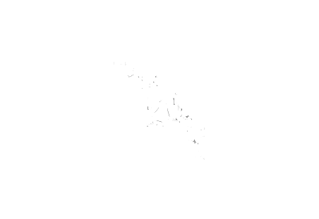 CC(C)(C)OC(=O)N1CCN[C@H](COc2c(Cl)c(Br)cc3nc(NC4CCN(C5CC5)CC4)[nH]c(=O)c23)C1